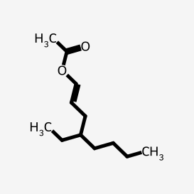 CCCCC(CC)CC=COC(C)=O